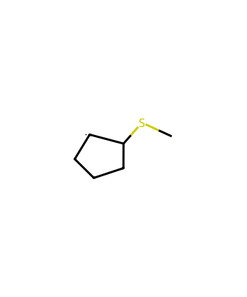 CSC1[CH]CCC1